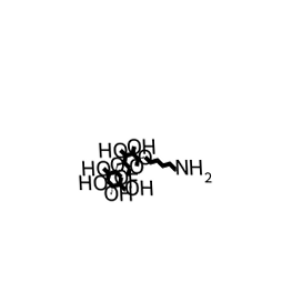 NCCCCCO[C@@H]1OC(CF)[C@@H](O[C@@H]2OC(CO)[C@H](O)C(O)C2O)C(O)C1O